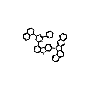 c1ccc(-c2nc(-c3cccc4ccccc34)nc(-c3cccc4sc5cc(-n6c7cc8ccccc8cc7c7ccc8ccccc8c76)ccc5c34)n2)cc1